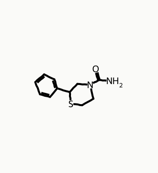 NC(=O)N1CCSC(c2ccccc2)C1